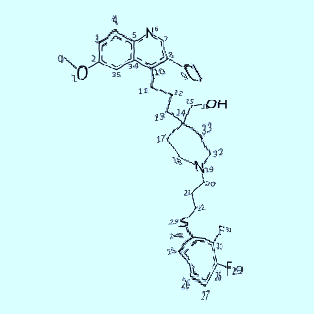 COc1ccc2ncc(Cl)c(CCCC3(CO)CCN(CCCSc4cccc(F)c4F)CC3)c2c1